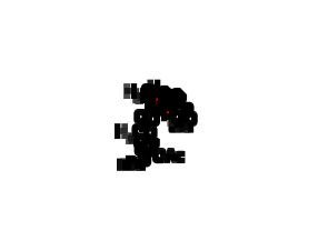 CCCCOC(=O)[C@H](CC(=O)O[C@@H](C)C(=O)OC1=CC[C@@]2(O)[C@H]3Cc4ccc(OC(=O)OC(C)(C)C)c5c4[C@@]2(CCN3C)[C@H]1O5)OC(C)=O